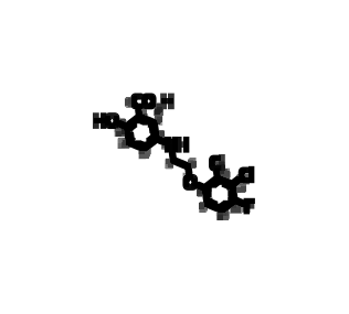 O=C(O)c1cc(NCCOc2ccc(F)c(Cl)c2Cl)ccc1O